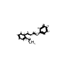 COc1ccccc1/C=C/COc1ccccc1